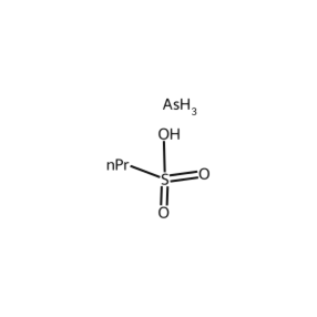 CCCS(=O)(=O)O.[AsH3]